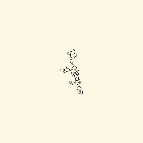 CC1(O)CCC(CNc2ncc(S(=O)(=O)NC(=O)c3ccc(N4CCC5(CC4)CC(N4CCC6CC64c4ccccc4C4CC4)C5)cc3Oc3cnc4[nH]ccc4c3)cc2[N+](=O)[O-])CC1